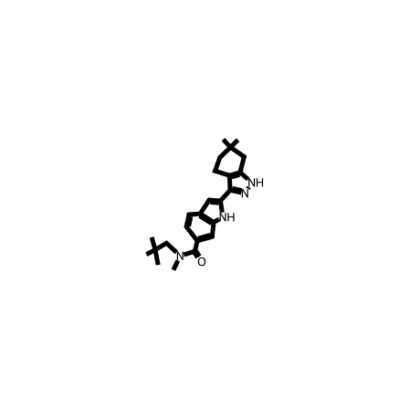 CN(CC(C)(C)C)C(=O)c1ccc2cc(-c3n[nH]c4c3CCC(C)(C)C4)[nH]c2c1